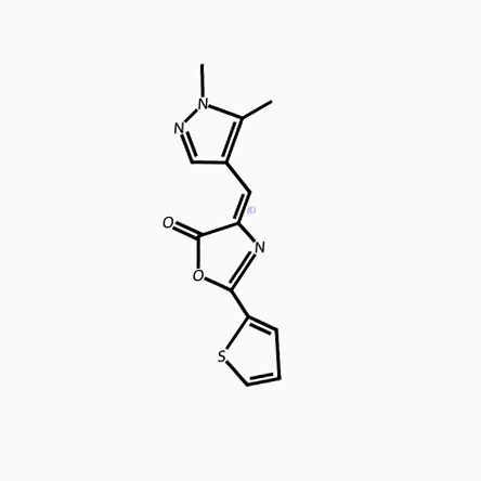 Cc1c(/C=C2/N=C(c3cccs3)OC2=O)cnn1C